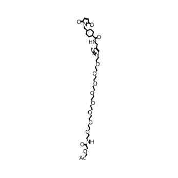 CC(=O)COCC(=O)NCCOCCOCCOCCOCCOCCOCCOCCOCCn1cc(CNC(=O)C2CCC(CN3C(=O)C=CC3=O)CC2)nn1